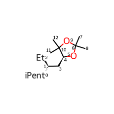 CCC[C@@H](C)[C@@H](CC)C[C@@H]1OC(C)(C)OC1(C)C